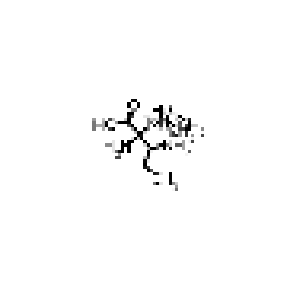 C=C.C=C.CCC(N)C(N)(N)C(=O)O